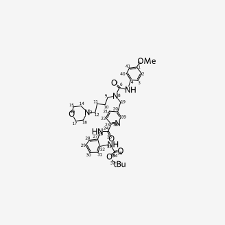 COc1ccc(NC(=O)N(CCCCN2CCOCC2)Cc2ccc(C(=O)Nc3ccccc3NC(=O)OC(C)(C)C)nc2)cc1